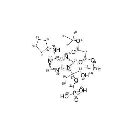 CC(C)(C)OC(=O)CC(=O)OC(C)(C)C.CCC(CO)(OCP(=O)(O)O)n1cnc2c(NC3CCCC3)ncnc21